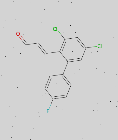 O=CC=Cc1c(Cl)cc(Cl)cc1-c1ccc(F)cc1